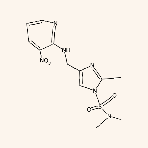 Cc1nc(CNc2ncccc2[N+](=O)[O-])cn1S(=O)(=O)N(C)C